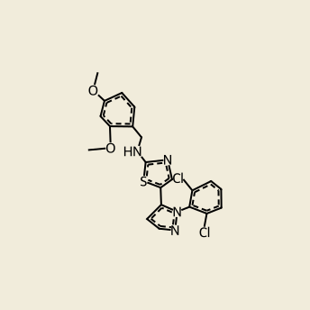 COc1ccc(CNc2ncc(-c3ccnn3-c3c(Cl)cccc3Cl)s2)c(OC)c1